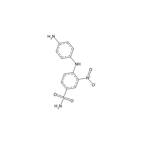 Nc1ccc(Nc2ccc(S(N)(=O)=O)cc2[N+](=O)[O-])cc1